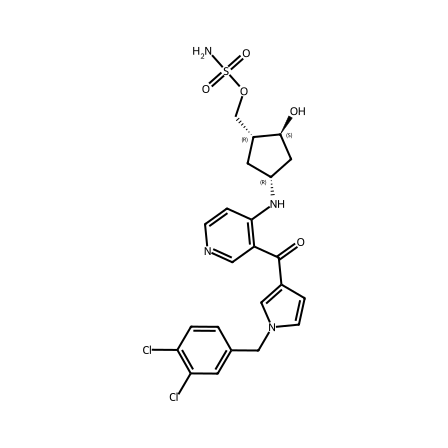 NS(=O)(=O)OC[C@H]1C[C@@H](Nc2ccncc2C(=O)c2ccn(Cc3ccc(Cl)c(Cl)c3)c2)C[C@@H]1O